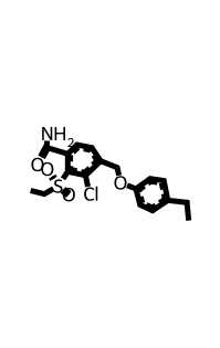 CCc1ccc(OCc2ccc(C(N)=O)c(S(=O)(=O)CC)c2Cl)cc1